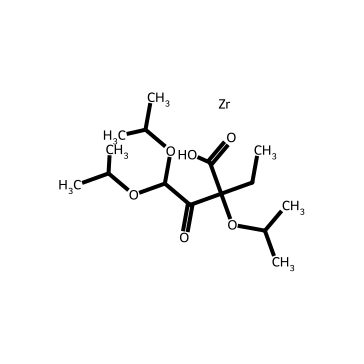 CCC(OC(C)C)(C(=O)O)C(=O)C(OC(C)C)OC(C)C.[Zr]